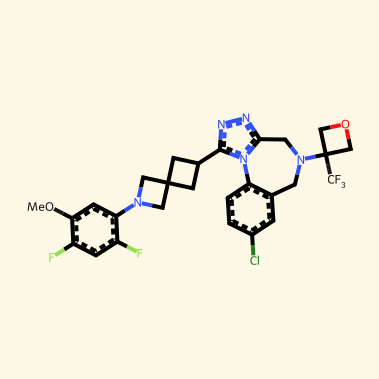 COc1cc(N2CC3(CC(c4nnc5n4-c4ccc(Cl)cc4CN(C4(C(F)(F)F)COC4)C5)C3)C2)c(F)cc1F